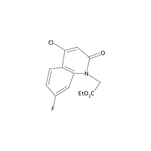 CCOC(=O)Cn1c(=O)cc(Cl)c2ccc(F)cc21